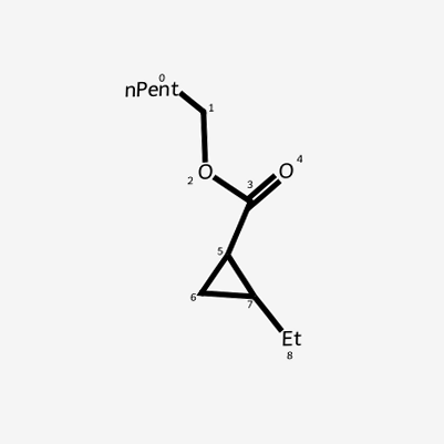 CCCCCCOC(=O)C1CC1CC